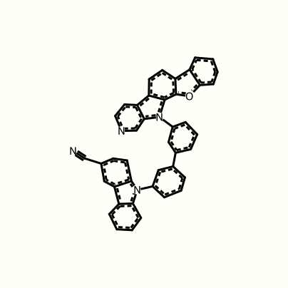 N#Cc1ccc2c(c1)c1ccccc1n2-c1cccc(-c2cccc(-n3c4cnccc4c4ccc5c6ccccc6oc5c43)c2)c1